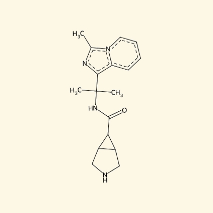 Cc1nc(C(C)(C)NC(=O)C2C3CNCC32)c2ccccn12